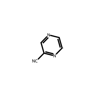 N#Cc1cnc[c]n1